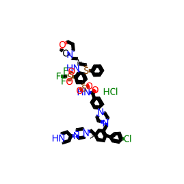 C[C@@]1(CN2CCN(C3CCNCC3)CC2)CCC(c2ccc(Cl)cc2)=C(CN2CCN(c3ccc(C(=O)NS(=O)(=O)c4ccc(N[C@H](CCN5CCCOCC5)CSc5ccccc5)c(S(=O)(=O)C(F)(F)F)c4)cc3)CC2)C1.Cl